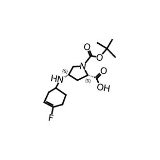 CC(C)(C)OC(=O)N1C[C@@H](NC2CC=C(F)CC2)C[C@H]1C(=O)O